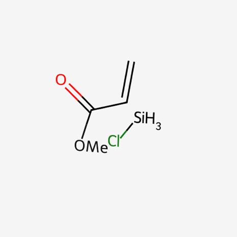 C=CC(=O)OC.[SiH3]Cl